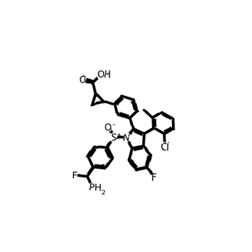 Cc1cccc(Cl)c1-c1c(-c2cccc(C3CC3C(=O)O)c2)n([S+]([O-])c2ccc(C(F)P)cc2)c2ccc(F)cc12